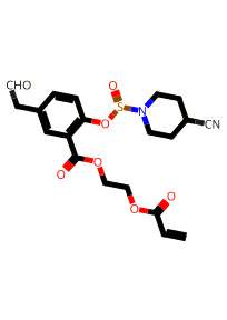 C=CC(=O)OCCOC(=O)c1cc(CC=O)ccc1OS(=O)N1CCC(C#N)CC1